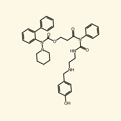 O=C(CCOC(=O)N(c1ccccc1-c1ccccc1)N1CC[CH]CC1)N(C(=O)NCCNCc1ccc(O)cc1)c1ccccc1